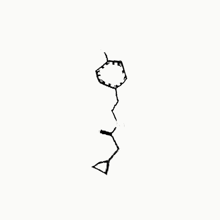 O=C(CC1CC1)NCCc1ccc(Br)cc1